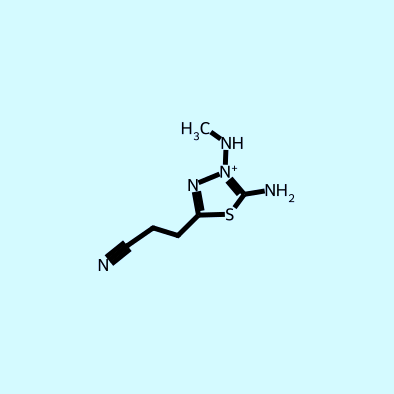 CN[n+]1nc(CCC#N)sc1N